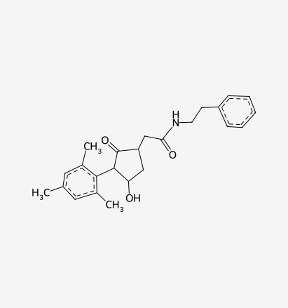 Cc1cc(C)c(C2C(=O)C(CC(=O)NCCc3ccccc3)CC2O)c(C)c1